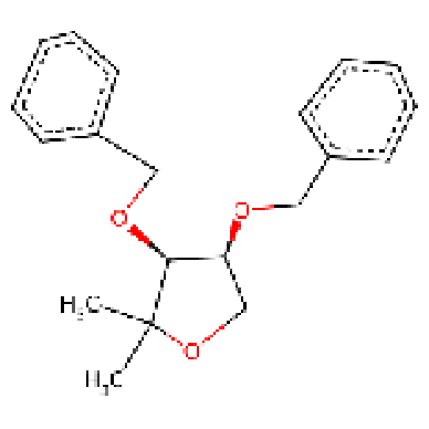 CC1(C)OC[C@H](OCc2ccccc2)[C@@H]1OCc1ccccc1